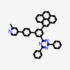 Cc1cc(-c2ccc(-c3cc(-c4nc(-c5ccccc5)nc(-c5ccccc5)n4)cc(-c4cc5cccc6ccc7cccc4c7c65)c3)cc2)ccn1